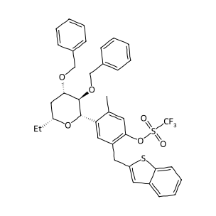 CC[C@@H]1C[C@H](OCc2ccccc2)[C@@H](OCc2ccccc2)[C@H](c2cc(Cc3cc4ccccc4s3)c(OS(=O)(=O)C(F)(F)F)cc2C)O1